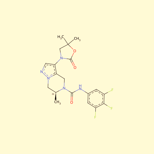 C[C@H]1Cn2ncc(N3CC(C)(C)OC3=O)c2CN1C(=O)Nc1cc(F)c(F)c(F)c1